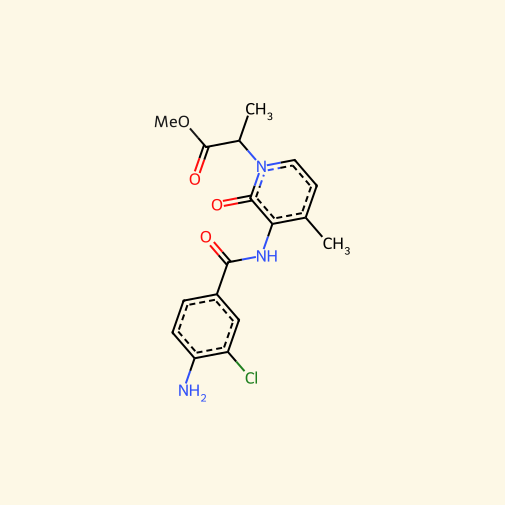 COC(=O)C(C)n1ccc(C)c(NC(=O)c2ccc(N)c(Cl)c2)c1=O